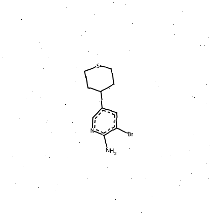 Nc1ncc(C2CCSCC2)cc1Br